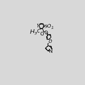 Cc1nccc([N+](=O)[O-])c1C(=O)Oc1ccc(OCc2ccncc2)cc1